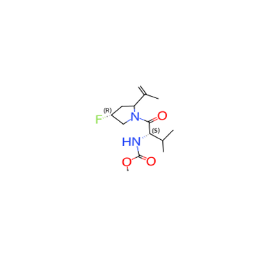 C=C(C)C1C[C@@H](F)CN1C(=O)[C@@H](NC(=O)OC)C(C)C